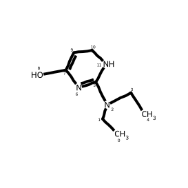 CCN(CC)C1=NC(O)=C[CH]N1